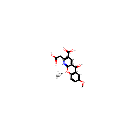 COc1ccc2oc3nc(CC(=O)[O-])c(C(=O)[O-])cc3c(=O)c2c1.[Na+].[Na+]